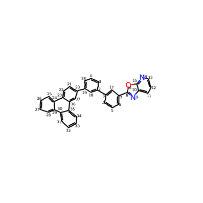 c1cc(-c2cccc(-c3nc4cccnc4o3)c2)cc(-c2ccc3c4ccccc4c4ccccc4c3c2)c1